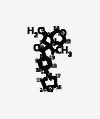 C=CCC(CC)(C(=O)c1ccc(N2CCOCC2)cc1)N1CCOCC1